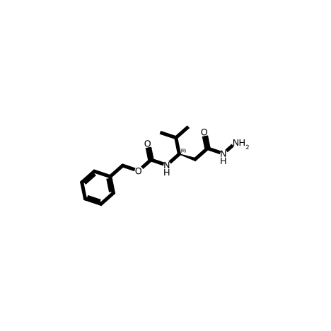 CC(C)[C@@H](CC(=O)NN)NC(=O)OCc1ccccc1